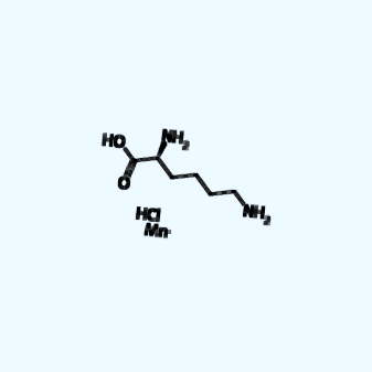 Cl.NCCCC[C@H](N)C(=O)O.[Mn]